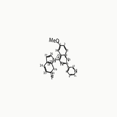 COc1ccc2nc(-c3cccnc3)nc(-n3ccc4c3C[C@H](F)C=C4)c2c1